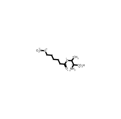 CC(OC(=O)CCCCCO[N+](=O)[O-])C(N)C(=O)O